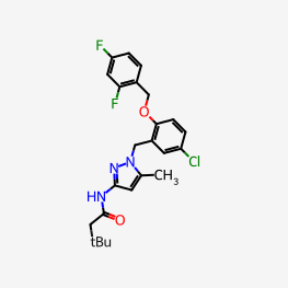 Cc1cc(NC(=O)CC(C)(C)C)nn1Cc1cc(Cl)ccc1OCc1ccc(F)cc1F